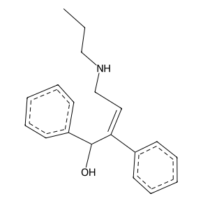 CCCNCC=C(c1ccccc1)C(O)c1ccccc1